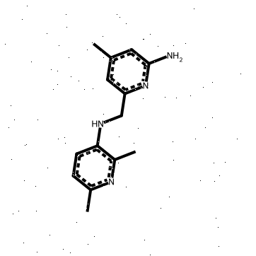 Cc1cc(N)nc(CNc2ccc(C)nc2C)c1